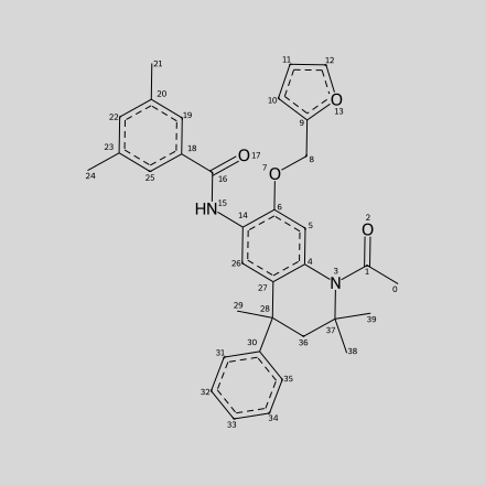 CC(=O)N1c2cc(OCc3ccco3)c(NC(=O)c3cc(C)cc(C)c3)cc2C(C)(c2ccccc2)CC1(C)C